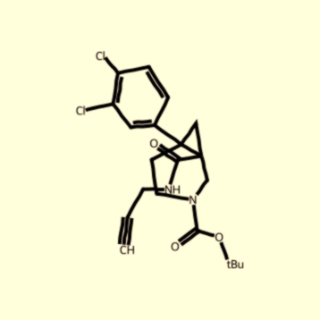 C#CCNC(=O)C12CN(C(=O)OC(C)(C)C)CCC1(c1ccc(Cl)c(Cl)c1)C2